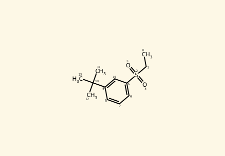 CCS(=O)(=O)c1cc[c]c(C(C)(C)C)c1